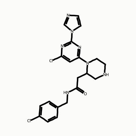 O=C(CC1CNCCN1c1cc(Cl)nc(-n2ccnc2)n1)NCc1ccc(Cl)cc1